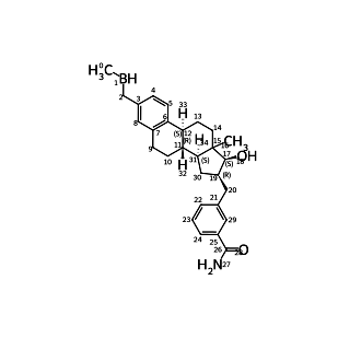 CBCc1ccc2c(c1)CC[C@@H]1[C@@H]2CCC2(C)[C@@H](O)[C@@H](Cc3cccc(C(N)=O)c3)C[C@@H]12